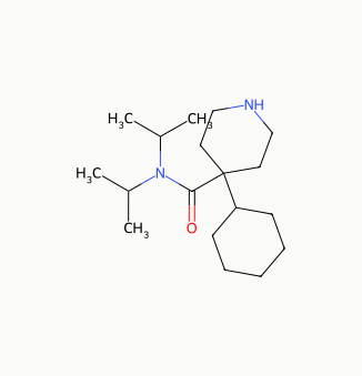 CC(C)N(C(=O)C1(C2CCCCC2)CCNCC1)C(C)C